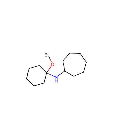 CCOC1(NC2CCCCCC2)CCCCC1